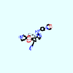 COc1cc(-c2ccnc(Nc3ccc(N4CCOCC4)cc3)n2)cc(C#N)c1OC1CCNCC1